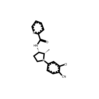 C[C@H]1[C@@H](NC(=O)c2ccccn2)CCN1c1ccc(C#N)c(Cl)c1